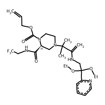 C=CCOC(=O)N1CCN(C(C)(C)C(=C)NCC(OCC)(OCC)c2ccccn2)C[C@H]1C(=O)NCC(F)(F)F